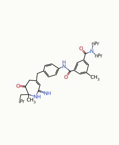 CCCN(CCC)C(=O)c1cc(C)cc(C(=O)Nc2ccc(CC3=CC(=N)NC(C)(CC(C)C)C(=O)C3)cc2)c1